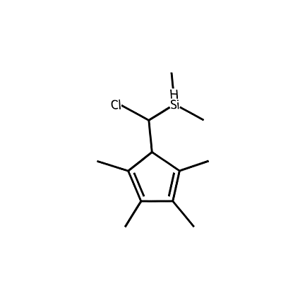 CC1=C(C)C(C(Cl)[SiH](C)C)C(C)=C1C